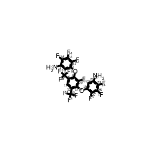 Nc1cc(Oc2c(C(F)(F)F)cc(C(F)(F)F)c(Oc3cc(N)c(F)c(F)c3F)c2F)c(F)c(F)c1F